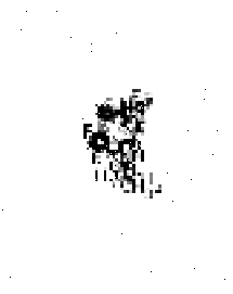 CC(C)(C)OC(=O)NC(CC(=O)N1CCn2c(C(F)(F)F)nc(-c3cccs3)c2C1)Cc1cc(F)c(F)cc1F